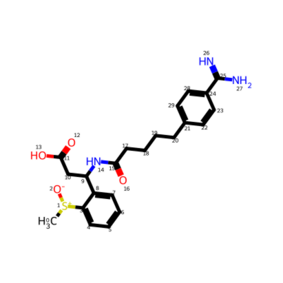 C[S+]([O-])c1ccccc1C(CC(=O)O)NC(=O)CCCCc1ccc(C(=N)N)cc1